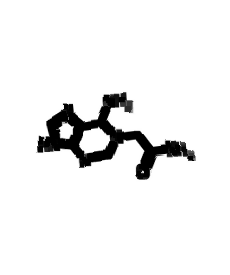 NC(=O)CN1C=Nc2[nH]cnc2C1N